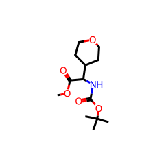 COC(=O)C(NC(=O)OC(C)(C)C)C1CCOCC1